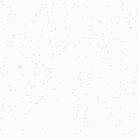 CS(=O)(=O)OCCN(CCN)CCN